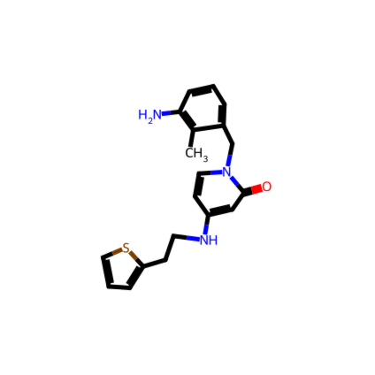 Cc1c(N)cccc1Cn1ccc(NCCc2cccs2)cc1=O